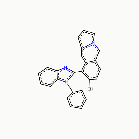 Cc1ccc2cn3cccc3cc2c1-c1nc2ccccc2n1-c1ccccc1